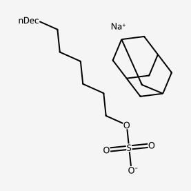 C1C2CC3CC1CC(C2)C3.CCCCCCCCCCCCCCCCOS(=O)(=O)[O-].[Na+]